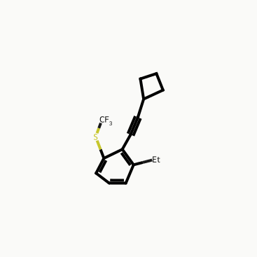 CCc1cccc(SC(F)(F)F)c1C#CC1CCC1